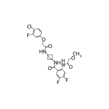 COCC(=O)Nc1cc(F)c(F)cc1C(=O)NC12CC(NC(=O)COc3ccc(Cl)c(F)c3)(C1)C2